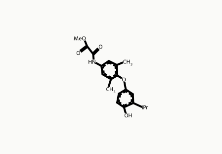 COC(=O)C(=O)Nc1cc(C)c(Oc2ccc(O)c(C(C)C)c2)c(C)c1